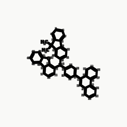 CC1(C)c2ccccc2-c2ccc(N(c3ccc(-c4cc5ccccc5c5ccccc45)cc3)c3cccc4c3oc3ccccc34)cc21